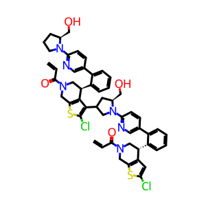 C=CC(=O)N1Cc2sc(Cl)cc2[C@@H](c2ccccc2-c2ccc(N3CC(c4c(Cl)sc5c4[C@H](c4ccccc4-c4ccc(N6CCC[C@H]6CO)nc4)CN(C(=O)C=C)C5)C[C@H]3CO)nc2)C1